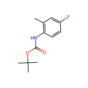 Cc1cc(F)ccc1NC(=O)OC(C)(C)C